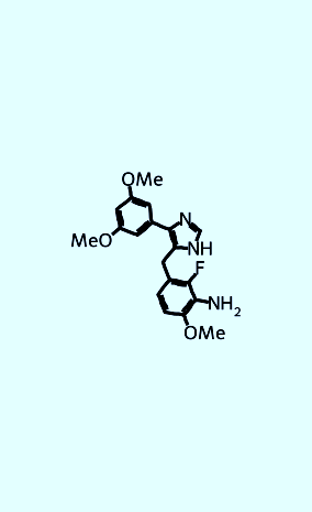 COc1cc(OC)cc(-c2nc[nH]c2Cc2ccc(OC)c(N)c2F)c1